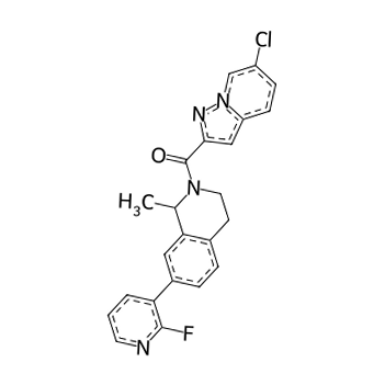 CC1c2cc(-c3cccnc3F)ccc2CCN1C(=O)c1cc2ccc(Cl)cn2n1